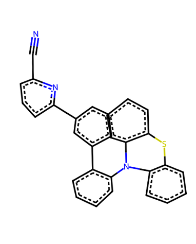 N#Cc1cccc(-c2cccc(-c3ccccc3N3c4ccccc4Sc4ccccc43)c2)n1